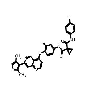 Cc1noc(C)c1-c1cc2nccc(Oc3ccc(NC(=O)C4(C(=O)Nc5ccc(F)cc5)CC4)cc3F)c2cn1